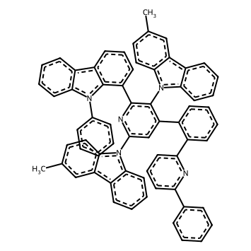 Cc1ccc2c(c1)c1ccccc1n2-c1cc(-c2ccccc2-c2cccc(-c3ccccc3)n2)c(-n2c3ccccc3c3cc(C)ccc32)c(-c2cccc3c4ccccc4n(-c4ccccc4)c23)n1